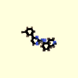 Cc1cccc(-c2ccnc(Nc3cccc4cnccc34)n2)c1